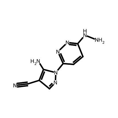 N#Cc1cnn(-c2ccc(NN)nn2)c1N